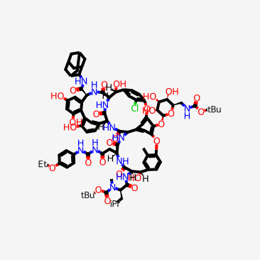 CCOc1ccc(NC(=O)NC(=O)C[C@@H]2NC(=O)[C@H](NC(=O)[C@@H](CC(C)C)N(C)C(=O)OC(C)(C)C)[C@H](O)c3ccc(c(C)c3)Oc3cc4cc(c3O[C@@H]3O[C@H](CNC(=O)OC(C)(C)C)[C@@H](O)[C@H](O)[C@H]3O)Oc3ccc(cc3Cl)[C@@H](O)[C@@H]3NC(=O)[C@H](NC(=O)C4NC2=O)c2ccc(O)c(c2)-c2c(O)cc(O)cc2[C@@H](C(=O)NC2C4CC5CC(C4)CC2C5)NC3=O)cc1